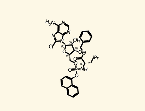 CC(C)C[C@H](NP(=O)(OC[C@H]1O[C@@H](n2c(Cl)nc3c(N)ncnc32)[C@@H](O)[C@H]1O)Oc1cccc2ccccc12)C(=O)OCc1ccccc1